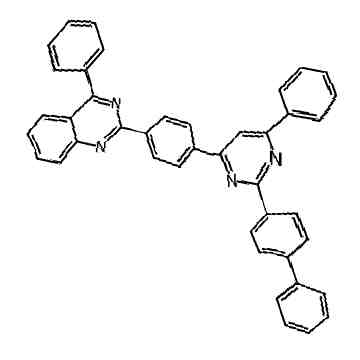 c1ccc(-c2ccc(-c3nc(-c4ccccc4)cc(-c4ccc(-c5nc(-c6ccccc6)c6ccccc6n5)cc4)n3)cc2)cc1